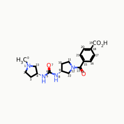 CN1CC[C@@H](NC(=O)N[C@@H]2CCN(C(=O)c3ccc(C(=O)O)cc3)C2)C1